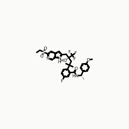 CCS(=O)(=O)c1cc2cc(C[C@](O)(CC(C)(C)c3ccc(F)cc3C(=O)N[C@@H](C)c3ccc(OC)cc3)C(F)(F)F)[nH]c2cn1